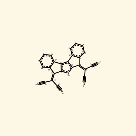 N#CC(C#N)=C1c2ccccc2-c2c1sc1c2-c2ccccc2C1=C(C#N)C#N